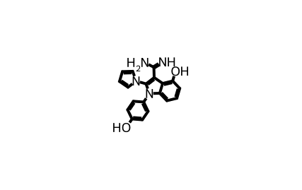 N=C(N)c1c(-n2cccc2)n(-c2ccc(O)cc2)c2cccc(O)c12